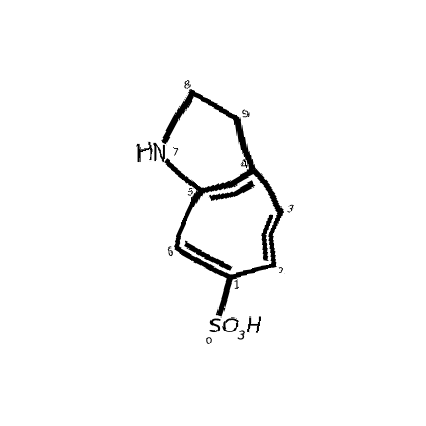 O=S(=O)(O)c1ccc2c(c1)NCC2